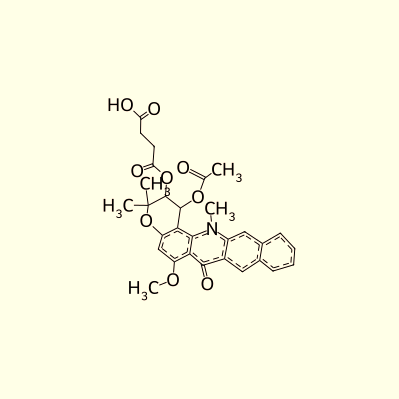 COc1cc2c(c3c1c(=O)c1cc4ccccc4cc1n3C)C(OC(C)=O)C(OC(=O)CCC(=O)O)C(C)(C)O2